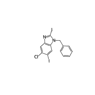 Clc1cc2nc(I)n(Cc3ccccc3)c2cc1I